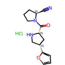 Cl.N#C[C@@H]1CCCN1C(=O)[C@@H]1C[C@H](c2ccco2)CN1